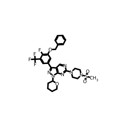 CS(=O)(=O)N1CCN(c2ncc3c(-c4cc(OCc5ccccc5)c(F)c(C(F)(F)F)c4)nn(C4CCCCO4)c3n2)CC1